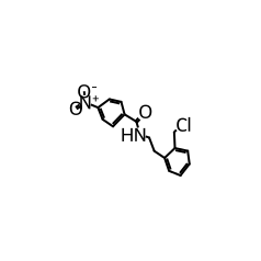 O=C(NCCc1ccccc1CCl)c1ccc([N+](=O)[O-])cc1